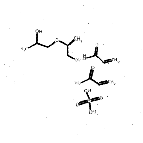 C=CC(=O)O.C=CC(=O)O.CC(O)COC(C)CO.O=S(=O)(O)O